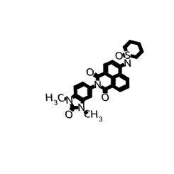 Cn1c(=O)n(C)c2cc(N3C(=O)c4cccc5c(N=S6(=O)CCCCC6)ccc(c45)C3=O)ccc21